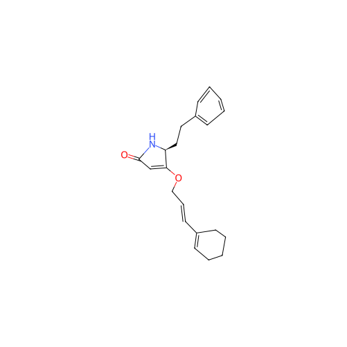 O=C1C=C(OC/C=C/C2=CCCCC2)[C@H](CCc2ccccc2)N1